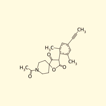 CC#Cc1cc(C)c(C2C(=O)OC3(CCN(C(C)=O)CC3)C2=O)c(C)c1